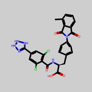 Cc1cccc2c1C(=O)N(c1ccc(C[C@H](NC(=O)c3c(Cl)cc(C4=NNNN4)cc3Cl)C(=O)O)cc1)C2=O